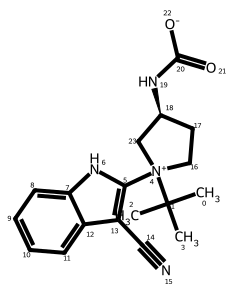 CC(C)(C)[N+]1(c2[nH]c3ccccc3c2C#N)CC[C@H](NC(=O)[O-])C1